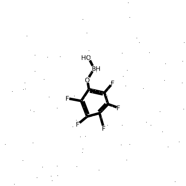 OBOc1c(F)c(F)c(F)c(F)c1F